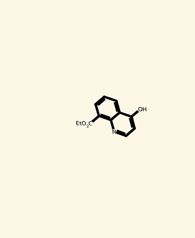 CCOC(=O)c1cccc2c(O)ccnc12